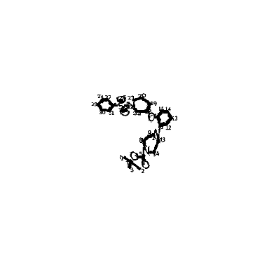 CC(C)(C)OC(=O)N1CCN(c2ccccc2OC2CCCN(S(=O)(=O)c3ccccc3)C2)CC1